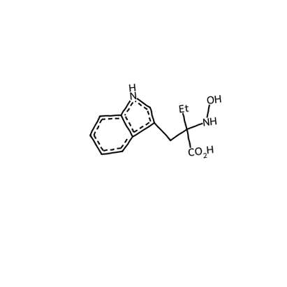 CCC(Cc1c[nH]c2ccccc12)(NO)C(=O)O